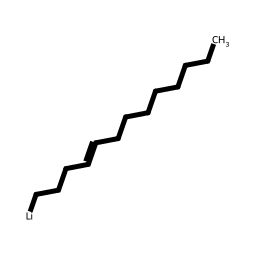 [Li][CH2]CCC=CCCCCCCCC